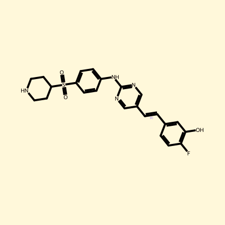 O=S(=O)(c1ccc(Nc2ncc(/C=C/c3ccc(F)c(O)c3)cn2)cc1)C1CCNCC1